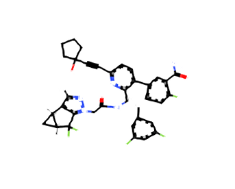 NC(=O)c1cc(-c2ccc(C#CC3(O)CCCC3)nc2[C@H](Cc2cc(F)cc(F)c2)NC(=O)Cn2nc(C(F)(F)F)c3c2C(F)(F)[C@@H]2C[C@H]32)ccc1F